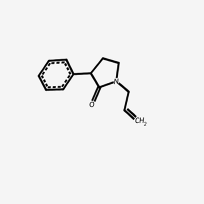 C=CCN1CCC(c2ccccc2)C1=O